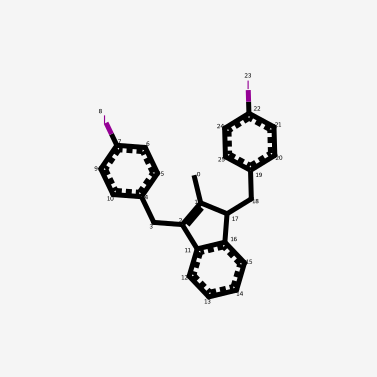 CC1=C(Cc2ccc(I)cc2)c2ccccc2C1Cc1ccc(I)cc1